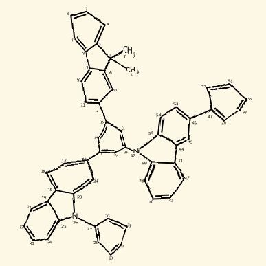 CC1(C)c2ccccc2-c2ccc(-c3cc(-c4ccc5c6ccccc6n(-c6ccccc6)c5c4)cc(-n4c5ccccc5c5cc(-c6ccccc6)ccc54)c3)cc21